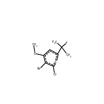 FC(F)(F)Oc1cc(C(F)(C(F)(F)F)C(F)(F)F)cc(Cl)c1Br